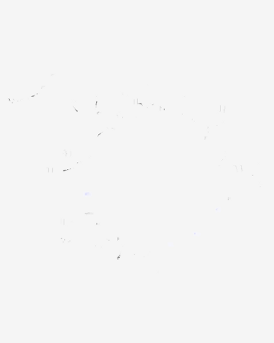 [2H]C([2H])([2H])O[C@H]1C[C@@H]2CC[C@@H](C)[C@@](O)(O2)C(=O)C(=O)N2CCCC[C@H]2C(=O)O[C@H]([C@H](C)C[C@@H]2CC[C@@H](O)[C@H](OC)C2)CC(=O)[C@H](C([2H])([2H])[2H])/C=C(\C)[C@@H](O)[C@@H](OC)C(=O)[C@H](C)C([2H])(C)[C@]([2H])(C)/C=C/C=C/C=C/1C